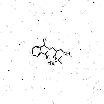 CC(C)(C)[Si](C)(C)OC(CN)CN1C(=O)c2ccccc2C1O